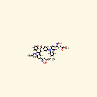 CCCCC(CC)Cn1c2ccc(/C(CCC(=O)OCC)=N/O)cc2c2cc(C(=O)c3ccc(-n4c5ccccc5c5cc(/C(CCC(=O)OCCC)=N/O)ccc54)cc3)c3ccccc3c21